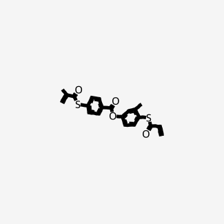 C=CC(=O)Sc1ccc(OC(=O)c2ccc(SC(=O)C(=C)C)cc2)cc1C